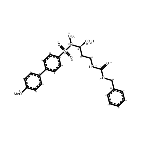 COc1ccc(-c2ccc(S(=O)(=O)N(OCC(C)C)[C@H](CCNC(=O)OCc3ccccc3)C(=O)O)cc2)cc1